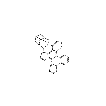 c1ccc2c(c1)c1ccccc1c1c3cccc4c3c3c(cccc3c21)C1C2CC3CC(C2)CC41C3